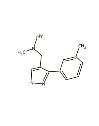 CCCN(C)Cc1c[nH]nc1-c1cccc(C)c1